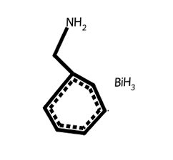 NCc1c[c]ccc1.[BiH3]